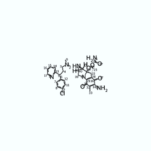 CN(C)CCC(c1ccc(Cl)cc1)c1ccccn1.CO[C@@]12[C@H](COC(N)=O)C3=C(C(=O)C(C)=C(N)C3=O)N1C[C@@H]1N[C@@H]12